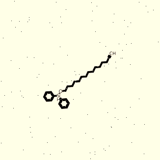 C#CCCCCCCCCCCCCCO[SiH](c1ccccc1)c1ccccc1